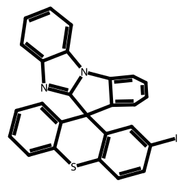 Ic1ccc2c(c1)C1(c3ccccc3S2)c2ccccc2-n2c1nc1ccccc12